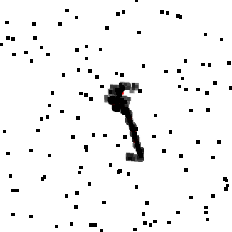 COCCOCCOCCOCCOCCOCCOCCOc1ccc(NC(=O)c2c(-c3ccccc3)c(-c3ccc(F)cc3)n(CCC(O)CC(O)CC(=O)O)c2C(C)C)cc1